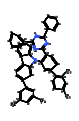 FC(F)(F)c1cc(-c2ccc3c4ccccc4n(-c4cc(-c5ccc(C(F)(F)F)cc5C(F)(F)F)ccc4-c4nc(-c5ccccc5)nc(-c5ccccc5)n4)c3c2)cc(C(F)(F)F)c1